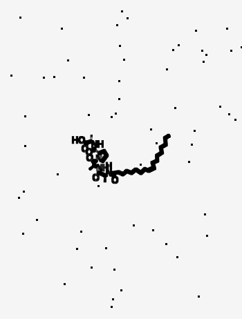 CCCCCCCC/C=C\CCCCCCCC(=O)N[C@@H](C)C(=O)N[C@@H](C)C(=O)N1CCC[C@H]1C(=O)N[C@@H](C)C(=O)O